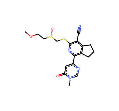 COCC[S+]([O-])CSc1nc(-c2cc(=O)n(C)cn2)c2c(c1C#N)CCC2